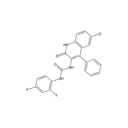 O=C(Nc1ccc(F)cc1F)Nc1c(-c2ccccc2)c2cc(Cl)ccc2[nH]c1=O